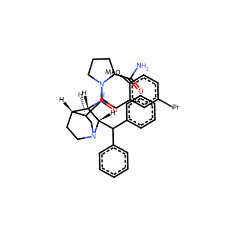 COc1ccc(C(C)C)cc1CN[C@H]1[C@H]2CCN(C[C@@H]2C(=O)N2CCCC2C(N)=O)[C@H]1C(c1ccccc1)c1ccccc1